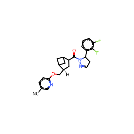 N#Cc1ccc(OC[C@@H]2CC(C(=O)N3N=CCC3c3cccc(F)c3F)C3CC2C3)nc1